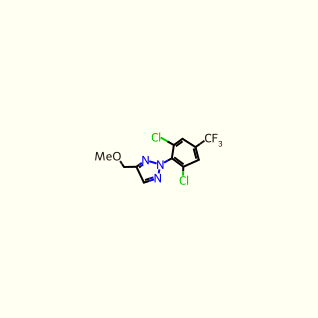 COCc1cnn(-c2c(Cl)cc(C(F)(F)F)cc2Cl)n1